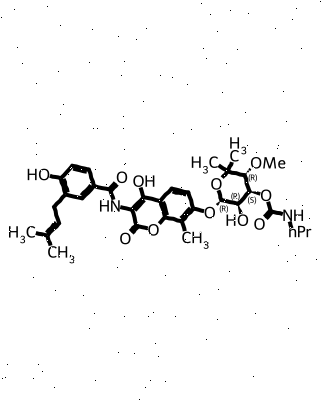 CCCNC(=O)O[C@H]1[C@@H](O)[C@H](Oc2ccc3c(O)c(NC(=O)c4ccc(O)c(CC=C(C)C)c4)c(=O)oc3c2C)OC(C)(C)[C@@H]1OC